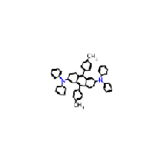 Cc1ccc(-c2c3ccc(N(c4ccccc4)c4ccccc4)cc3c(-c3ccc(C)cc3)c3ccc(N(c4ccccc4)c4ccccc4)cc23)cc1